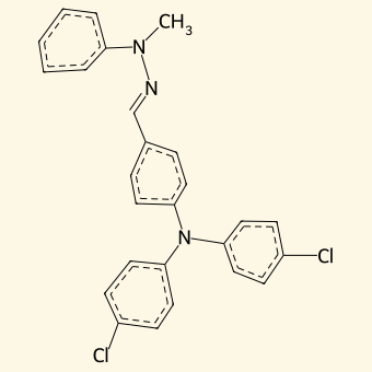 CN(/N=C/c1ccc(N(c2ccc(Cl)cc2)c2ccc(Cl)cc2)cc1)c1ccccc1